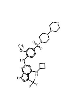 COc1cc(S(=O)(=O)N2CCC(N3CCOCC3)CC2)ccc1Nc1nc(NC2CCC2)c2c(C(F)(F)F)c[nH]c2n1